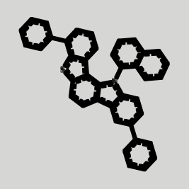 c1ccc(-c2ccc3c(c2)c2ccc4sc5c(-c6ccccc6)cccc5c4c2n3-c2cccc3ccccc23)cc1